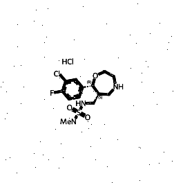 CNS(=O)(=O)NC[C@@H]1CNCCO[C@H]1c1ccc(F)c(Cl)c1.Cl